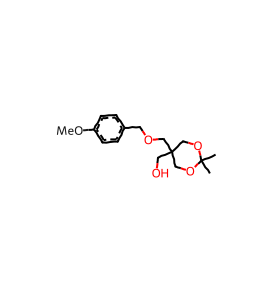 COc1ccc(COCC2(CO)COC(C)(C)OC2)cc1